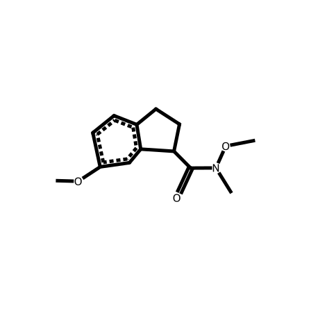 COc1ccc2c(c1)C(C(=O)N(C)OC)CC2